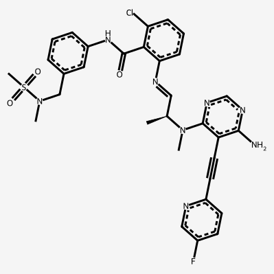 C[C@@H](/C=N/c1cccc(Cl)c1C(=O)Nc1cccc(CN(C)S(C)(=O)=O)c1)N(C)c1ncnc(N)c1C#Cc1ccc(F)cn1